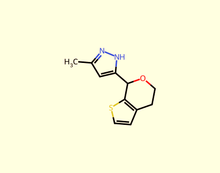 Cc1cc(C2OCCc3ccsc32)[nH]n1